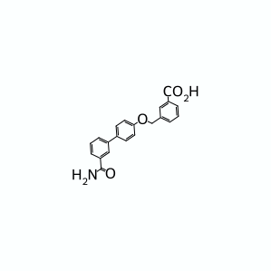 NC(=O)c1cccc(-c2ccc(OCc3cccc(C(=O)O)c3)cc2)c1